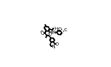 Cc1cc(C(C)Nc2ccccc2C(=O)O)c2oc(-c3ccc4c(c3)CCN(C)C4=O)c(C)c(=O)c2c1